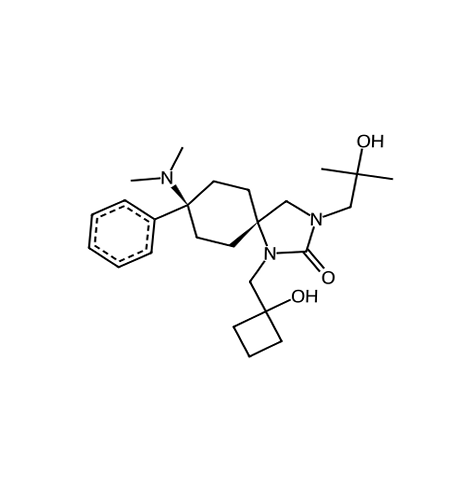 CN(C)[C@]1(c2ccccc2)CC[C@@]2(CC1)CN(CC(C)(C)O)C(=O)N2CC1(O)CCC1